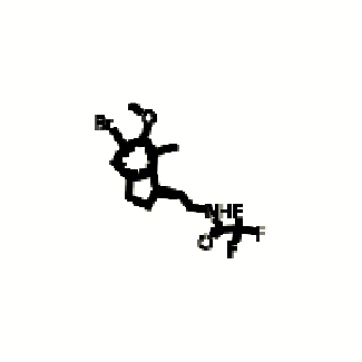 COc1c(Br)cc2c(c1C)C(=CCNC(=O)C(F)(F)F)CC2